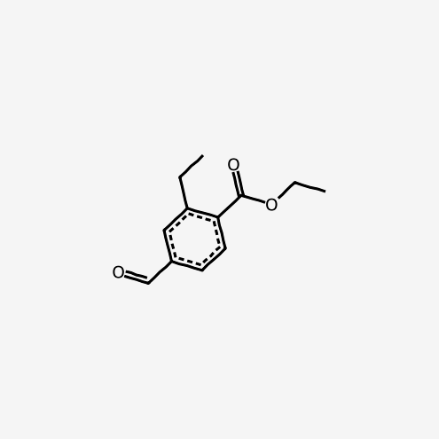 CCOC(=O)c1ccc(C=O)cc1CC